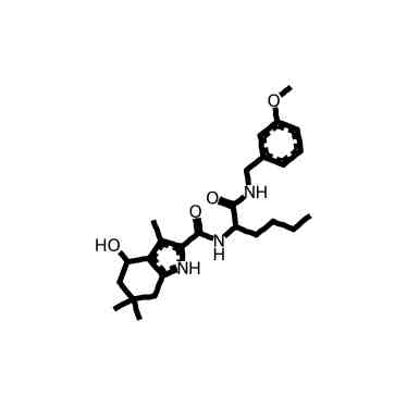 CCCCC(NC(=O)c1[nH]c2c(c1C)C(O)CC(C)(C)C2)C(=O)NCc1cccc(OC)c1